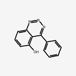 Oc1cccc2nnnc(-c3ccccc3)c12